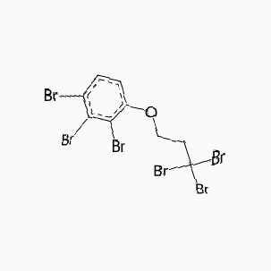 Brc1ccc(OCCC(Br)(Br)Br)c(Br)c1Br